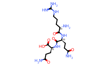 N=C(N)NCCC[C@H](N)C(=O)N[C@@H](CCC(N)=O)C(=O)N[C@@H](CCC(N)=O)C(=O)O